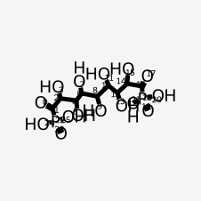 O=C(C(O)C(O)C(O)C(O)C(O)C(O)C(O)C(=O)P(=O)(O)O)P(=O)(O)O